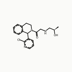 C[C@@H](O)CNCC(=O)N1CCc2ccccc2C1c1cccnc1Cl